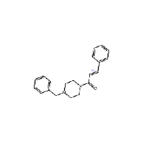 O=C(/C=C/c1ccccc1)N1CCN(Cc2ccccc2)CC1